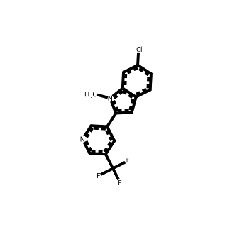 Cn1c(-c2cncc(C(F)(F)F)c2)cc2ccc(Cl)cc21